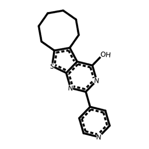 Oc1nc(-c2ccncc2)nc2sc3c(c12)CCCCCC3